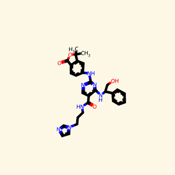 CC1(C)OC(=O)c2ccc(Nc3ncc(C(=O)NCCCn4ccnc4)c(NC(CO)c4ccccc4)n3)cc21